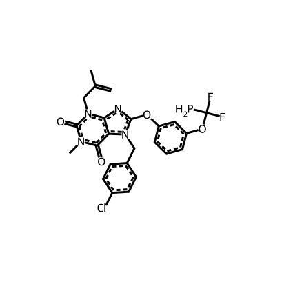 C=C(C)Cn1c(=O)n(C)c(=O)c2c1nc(Oc1cccc(OC(F)(F)P)c1)n2Cc1ccc(Cl)cc1